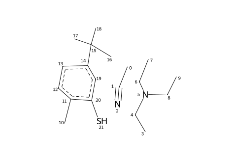 CC#N.CCN(CC)CC.Cc1ccc(C(C)(C)C)cc1S